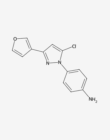 Nc1ccc(-n2nc(-c3ccoc3)cc2Cl)cc1